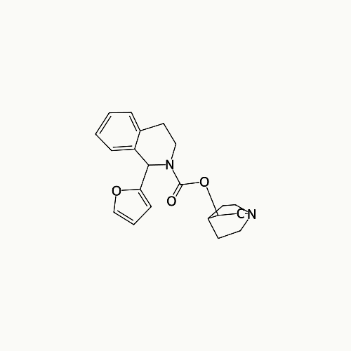 O=C(OC1CN2CCC1CC2)N1CCc2ccccc2C1c1ccco1